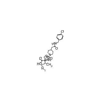 CC(C)[C@@](C)(NS(=O)(=O)N1CCC(CC(=O)NCc2ccc(Cl)cc2)CC1)C(=O)O